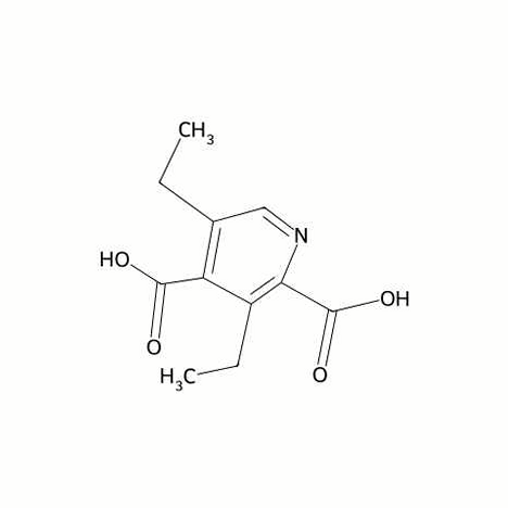 CCc1cnc(C(=O)O)c(CC)c1C(=O)O